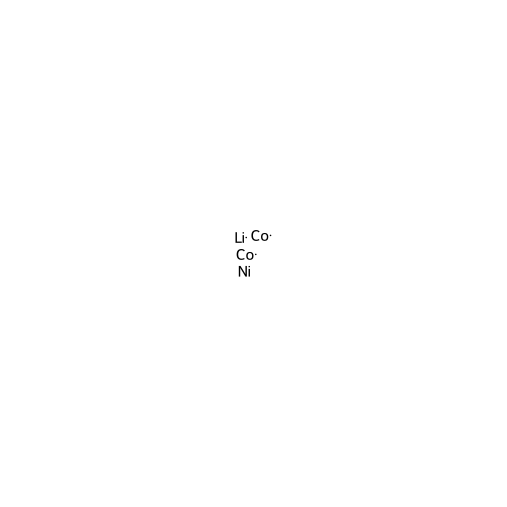 [Co].[Co].[Li].[Ni]